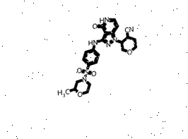 CC1CN(S(=O)(=O)c2ccc(Nc3nn(C4COCCC4C#N)c4cc[nH]c(=O)c34)cc2)CCO1